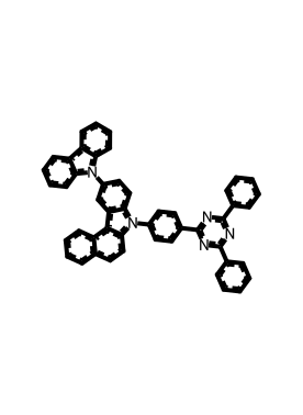 c1ccc(-c2nc(-c3ccccc3)nc(-c3ccc(-n4c5ccc(-n6c7ccccc7c7ccccc76)cc5c5c6ccccc6ccc54)cc3)n2)cc1